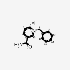 NC(=O)c1ccc[n+](Cc2ccccc2)c1.[I-]